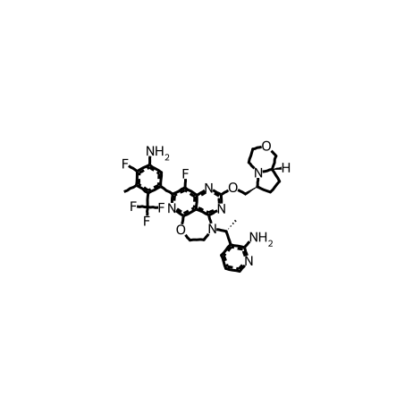 Cc1c(F)c(N)cc(-c2nc3c4c(nc(OC[C@@H]5CC[C@H]6COCCN65)nc4c2F)N([C@H](C)c2cccnc2N)CCO3)c1C(F)(F)F